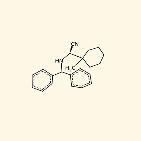 CC1([C@H](C#N)NC(c2ccccc2)c2ccccc2)CCCCC1